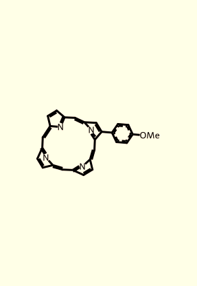 COc1ccc(C2=CC3=CC4=NC(=CC5=NC(=CC6=NC(=CC2=N3)C=C6)C=C5)C=C4)cc1